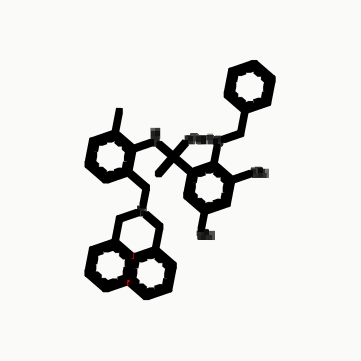 CCCCCC(C)(Pc1c(C)cccc1CN(Cc1ccccc1)Cc1ccccc1)c1cc(C(C)(C)C)cc(C(C)(C)C)c1OCc1ccccc1